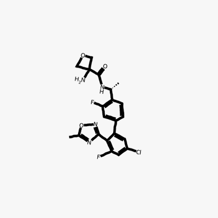 Cc1nc(-c2c(F)cc(Cl)cc2-c2ccc([C@@H](C)NC(=O)C3(N)COC3)c(F)c2)no1